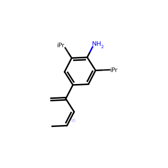 C=C(/C=C\C)c1cc(C(C)C)c(N)c(C(C)C)c1